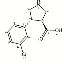 O=C(O)[C@@H]1CNC[C@H]1c1cccc(Cl)c1